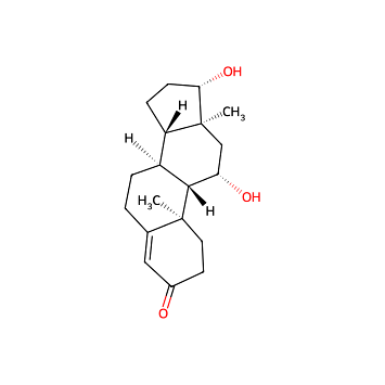 C[C@]12C[C@H](O)[C@H]3[C@@H](CCC4=CC(=O)CC[C@@]43C)[C@@H]1CC[C@@H]2O